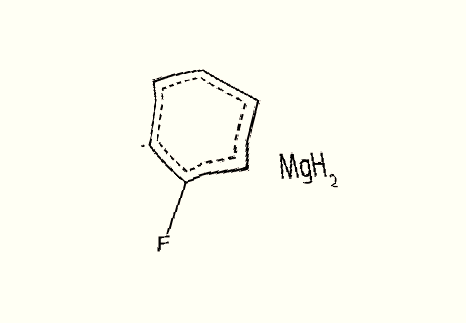 Fc1[c]cccc1.[MgH2]